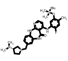 Cc1cc(F)c(Nc2ccnc3c2C(=O)Nc2cc(CN4CC[C@H](N(C)C)C4)ccc2N3)cc1O[Si](C)(C)C(C)(C)C